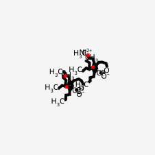 CCCCC1C(CCCC)C12CCCCOP([O-])OC21C(CCCC)C1CCCC.CCCCC1C(CCCC)C12CCCCOP([O-])OC21C(CCCC)C1CCCC.[Ni+2]